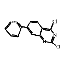 Clc1nc(Cl)c2ccc(-c3ccccc3)cc2n1